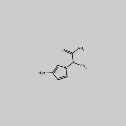 CC(C(N)=O)n1cc(N)cn1